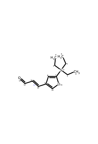 CC[Si](CC)(CC)c1cc(/C=C/C=O)co1